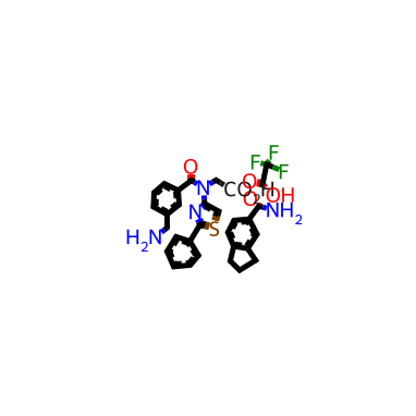 NC(=O)c1ccc2c(c1)CCC2.NCc1cccc(C(=O)N(CC(=O)O)c2csc(-c3ccccc3)n2)c1.O=C(O)C(F)(F)F